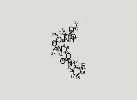 C=C[C@@H]1C[C@]1(NC(=O)[C@@H]1C[C@@H](OC(=O)N2Cc3cccc(F)c3C2)CN1C(C)=O)C(=O)OCC